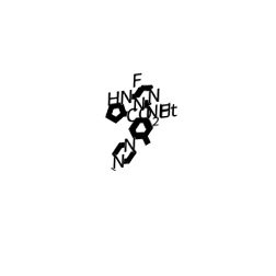 CCOC(=O)C1CCCC1Nc1nc(Nc2ccc(N3CCN(C)CC3)c(C)c2)ncc1F